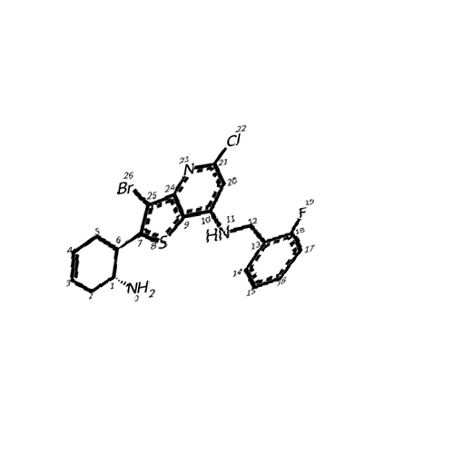 N[C@@H]1CC=CC[C@H]1c1sc2c(NCc3ccccc3F)cc(Cl)nc2c1Br